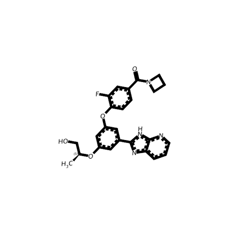 C[C@@H](CO)Oc1cc(Oc2ccc(C(=O)N3CCC3)cc2F)cc(-c2nc3cccnc3[nH]2)c1